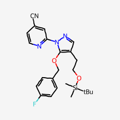 CC(C)(C)[Si](C)(C)OCCc1cnn(-c2cc(C#N)ccn2)c1OCc1ccc(F)cc1